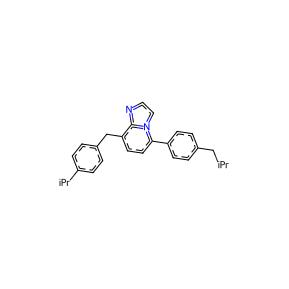 CC(C)Cc1ccc(-c2ccc(Cc3ccc(C(C)C)cc3)c3nccn23)cc1